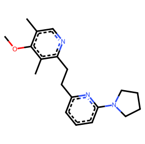 COc1c(C)cnc(CCc2cccc(N3CCCC3)n2)c1C